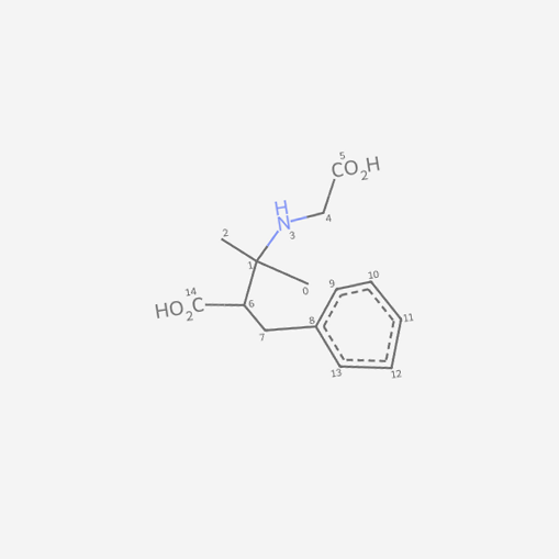 CC(C)(NCC(=O)O)C(Cc1ccccc1)C(=O)O